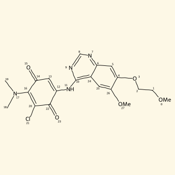 COCCOc1cc2ncnc(NC3=CC(=O)C(N(C)C)=C(Cl)C3=O)c2cc1OC